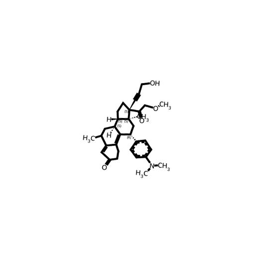 COCC(=O)[C@@]1(C#CCO)CC[C@H]2[C@@H]3CC(C)C4=CC(=O)CCC4=C3[C@@H](c3ccc(N(C)C)cc3)C[C@@]21C